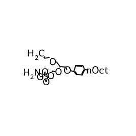 C=CCOCC(COc1ccc(CCCCCCCC)cc1)OCOS(=O)(=O)ON